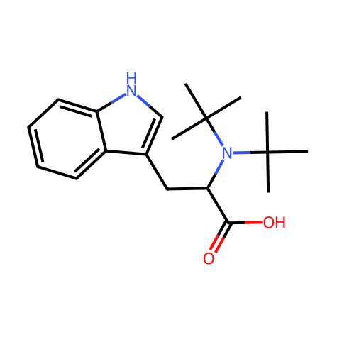 CC(C)(C)N(C(Cc1c[nH]c2ccccc12)C(=O)O)C(C)(C)C